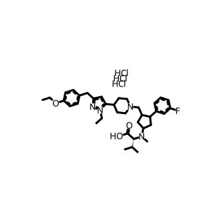 CCOc1ccc(Cc2cc(C3CCN(CC4CC(N(C)[C@@H](C(=O)O)C(C)C)CC4c4cccc(F)c4)CC3)n(CC)n2)cc1.Cl.Cl.Cl